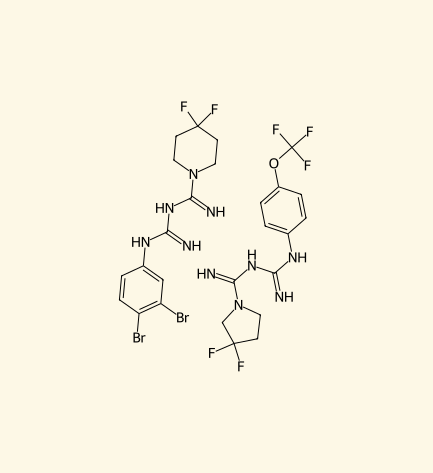 N=C(NC(=N)N1CCC(F)(F)C1)Nc1ccc(OC(F)(F)F)cc1.N=C(NC(=N)N1CCC(F)(F)CC1)Nc1ccc(Br)c(Br)c1